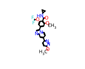 COc1ccc(-c2ccn3c(-c4cc(OC)c(C(=O)NC5CC5)c(OC(F)F)c4)cnc3c2)nn1